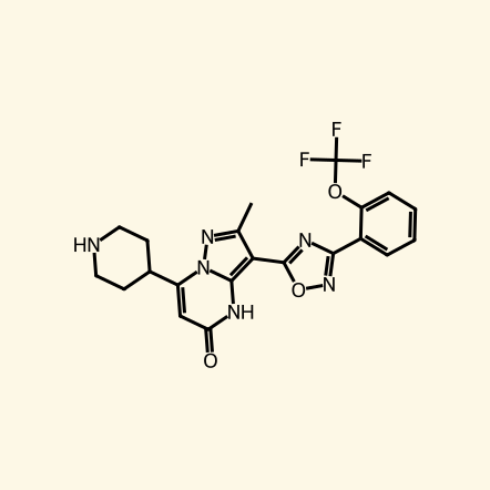 Cc1nn2c(C3CCNCC3)cc(=O)[nH]c2c1-c1nc(-c2ccccc2OC(F)(F)F)no1